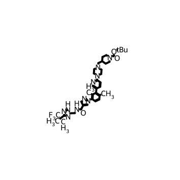 Cc1ccc(-n2cc(C(=O)NCc3nc(C(C)(C)C(F)(F)F)n[nH]3)cn2)c(C)c1-c1ccc(N2CCN(CC3CCN(C(=O)OC(C)(C)C)CC3)CC2)nc1